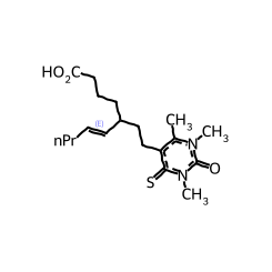 CCC/C=C/C(CCCC(=O)O)CCc1c(C)n(C)c(=O)n(C)c1=S